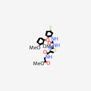 COC(=O)CNC(=O)c1csc(NC(=O)Nc2cc(F)ccc2Oc2cccc(OC)c2OC)n1